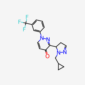 O=c1ccn(-c2cccc(C(F)(F)F)c2)nc1C1CC=NN1CC1CC1